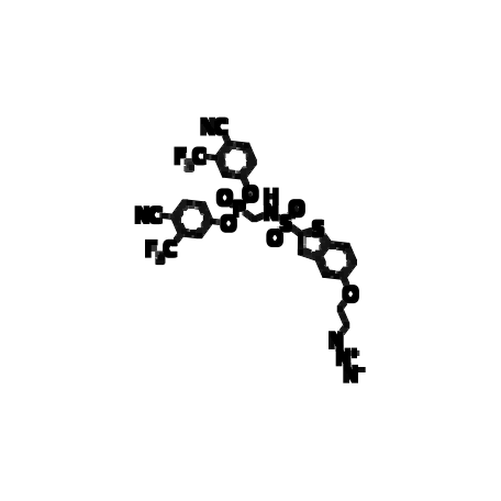 N#Cc1ccc(OP(=O)(CNS(=O)(=O)c2cc3cc(OCCN=[N+]=[N-])ccc3s2)Oc2ccc(C#N)c(C(F)(F)F)c2)cc1C(F)(F)F